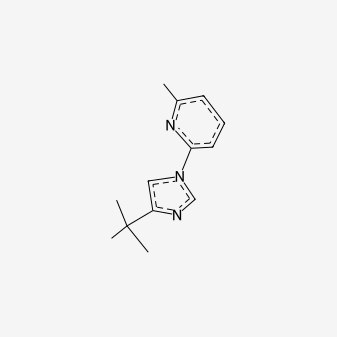 Cc1cccc(-n2cnc(C(C)(C)C)c2)n1